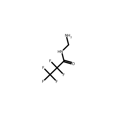 NCNC(=O)C(F)(F)C(F)(F)F